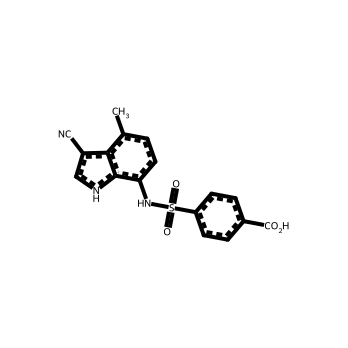 Cc1ccc(NS(=O)(=O)c2ccc(C(=O)O)cc2)c2[nH]cc(C#N)c12